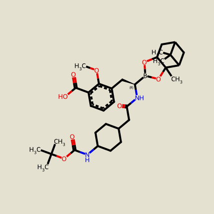 COc1c(C[C@H](NC(=O)CC2CCC(NC(=O)OC(C)(C)C)CC2)B2OC3CC4CC(C4(C)C)C3(C)O2)cccc1C(=O)O